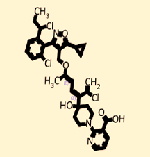 C=C(Cl)/C(=C\C=C(/C)OCc1c(-c2c(Cl)cccc2C(Cl)CC)noc1C1CC1)C1(O)CCN(c2ncccc2C(=O)O)CC1